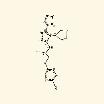 [O-][S+](CCc1ccc(Cl)cc1)Nc1nnc(-c2ccco2)n1C1CCCC1